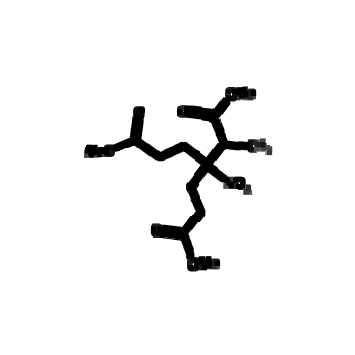 COC(=O)CCC(CCC(=O)OC)(C(C)C(=O)OC)[N+](=O)[O-]